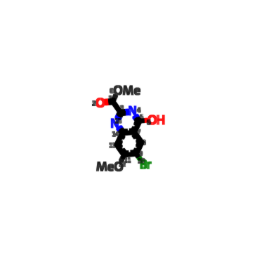 COC(=O)c1nc(O)c2cc(Br)c(OC)cc2n1